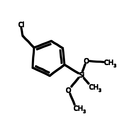 CO[Si](C)(OC)c1ccc(CCl)cc1